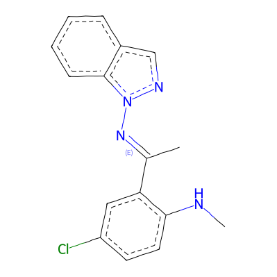 CNc1ccc(Cl)cc1/C(C)=N/n1ncc2ccccc21